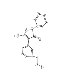 CCSCc1cccc(C2=C(N)OC(c3cccnc3)C2=O)c1